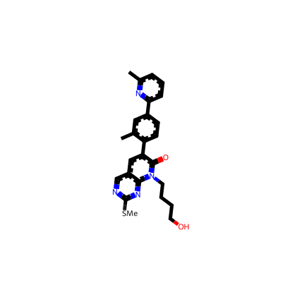 CSc1ncc2cc(-c3ccc(-c4cccc(C)n4)cc3C)c(=O)n(CCCCO)c2n1